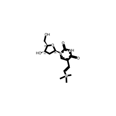 C[Si](C)(C)C=Cc1cn([C@H]2C[C@H](O)[C@@H](CO)O2)c(=O)[nH]c1=O